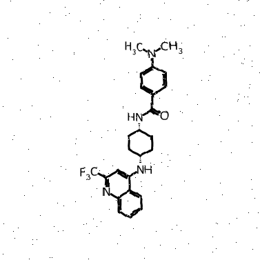 CN(C)c1ccc(C(=O)N[C@H]2CC[C@@H](Nc3cc(C(F)(F)F)nc4ccccc34)CC2)cc1